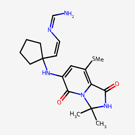 CSc1cc(NC2(/C=C\N=C/N)CCCC2)c(=O)n2c1C(=O)NC2(C)C